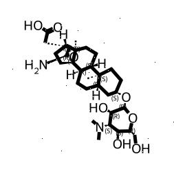 CN(C)[C@@H]1[C@@H](O)[C@H](O[C@H]2CC[C@@]3(C)[C@H](CC[C@@H]4[C@@H]3CC[C@]3(C)[C@@H]5CC[C@]43O[C@@H](N)[C@H]5CC(=O)O)C2)O[C@H](CO)[C@H]1O